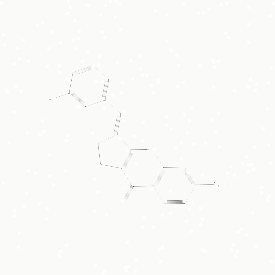 Nc1ccc2c(=O)c3c(oc2c1)C(=Cc1cccc(Cl)c1)CC3